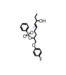 CCC(O)/C=C/CCC(COc1ccc(F)cc1)OS(=O)(=O)c1ccccc1